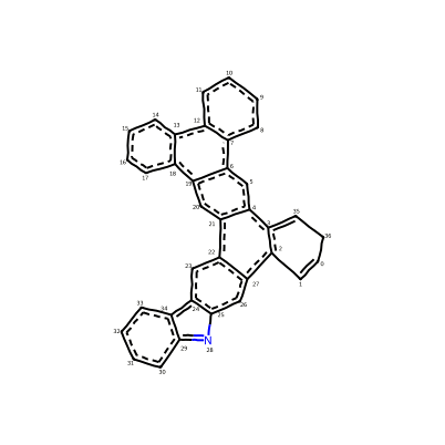 C1=Cc2c(c3cc4c5ccccc5c5ccccc5c4cc3c3cc4c(cc23)N=c2ccccc2=4)=CC1